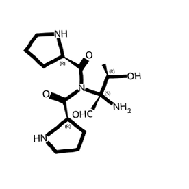 C[C@@H](O)[C@@](N)(C=O)N(C(=O)[C@H]1CCCN1)C(=O)[C@H]1CCCN1